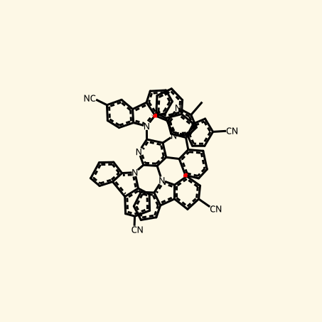 Cc1cc(-c2ccccc2-c2c(-n3c4ccccc4c4cc(C#N)ccc43)c(-n3c4ccccc4c4cc(C#N)ccc43)nc(-n3c4ccccc4c4cc(C#N)ccc43)c2-n2c3ccccc3c3cc(C#N)ccc32)cc(C)n1